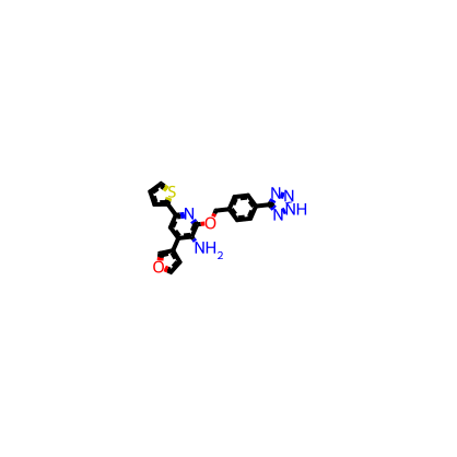 Nc1c(-c2ccoc2)cc(-c2cccs2)nc1OCc1ccc(-c2nn[nH]n2)cc1